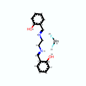 Oc1ccccc1/C=N/CC/N=C/c1ccccc1O.[F][Mn][F]